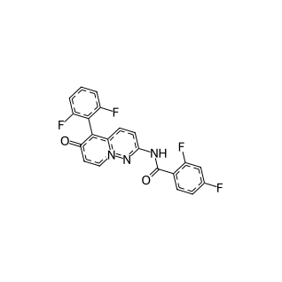 O=C(Nc1ccc2c(-c3c(F)cccc3F)c(=O)ccn2n1)c1ccc(F)cc1F